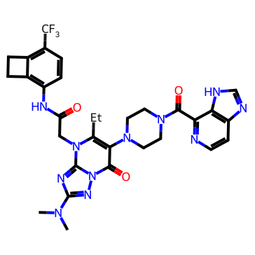 CCc1c(N2CCN(C(=O)c3nccc4nc[nH]c34)CC2)c(=O)n2nc(N(C)C)nc2n1CC(=O)Nc1ccc(C(F)(F)F)c2c1CC2